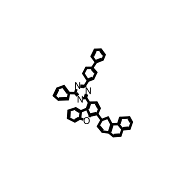 C1=CC(c2ccc(-c3nc(C4=CC=C(c5ccccc5)CC4)nc(-c4ccccc4)n3)c3c2oc2ccccc23)Cc2c1ccc1ccccc21